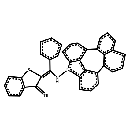 N=C1/C(=C(\Nn2c3cccc4c3c3c(cccc32)-c2cccc3cccc-4c23)c2ccccc2)Sc2ccccc21